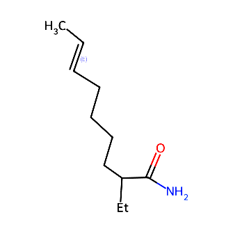 C/C=C/CCCCC(CC)C(N)=O